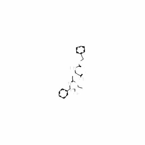 CCOC(C[C@H](NC(=O)OCc1ccccc1)C(=O)O)=N[C@@H](CO)c1ccccc1